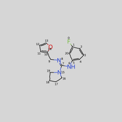 Fc1cccc(NC(=NCc2ccco2)N2CCCC2)c1